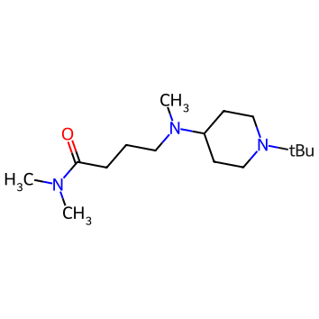 CN(C)C(=O)CCCN(C)C1CCN(C(C)(C)C)CC1